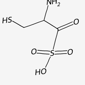 NC(CS)C(=O)S(=O)(=O)O